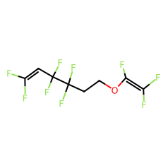 FC(F)=CC(F)(F)C(F)(F)CCOC(F)=C(F)F